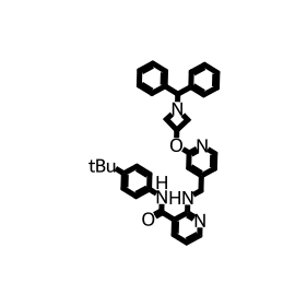 CC(C)(C)c1ccc(NC(=O)c2cccnc2NCc2ccnc(OC3CN(C(c4ccccc4)c4ccccc4)C3)c2)cc1